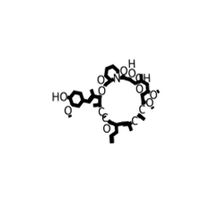 C=CCC1/C=C(\C)CC(C)CC(OC)C2OC(O)(C(C)CC2OC)C(O)C(=O)N2CCCCC2C(=O)OC(C(C)=CC2CCC(O)C(OC)C2)C(C)CCC1=O